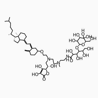 C=C1CCC(OCCN(CCN(C)CCNC(=O)C(O)C(O)C(O[C@@H]2OC(CO)C(O)(O)[C@H](O)C2O)C(O)CO)C[C@H](O)[C@H]2OC(=O)C(O)=C2O)C/C1=C/C=C1\CCC[C@@]2(C)C1CC[C@@H]2[C@H](C)CCCC(C)C